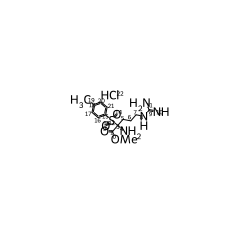 COC(=O)C(N)(CCCNC(=N)N)S(=O)(=O)c1ccc(C)cc1.Cl